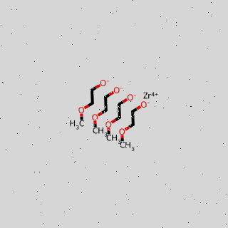 COCC[O-].COCC[O-].COCC[O-].COCC[O-].[Zr+4]